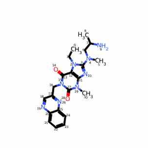 CCn1c(N(C)CC(C)N)nc2c1c(=O)n(Cc1cnc3ccccc3n1)c(=O)n2C